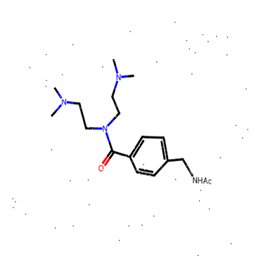 CC(=O)NCc1ccc(C(=O)N(CCN(C)C)CCN(C)C)cc1